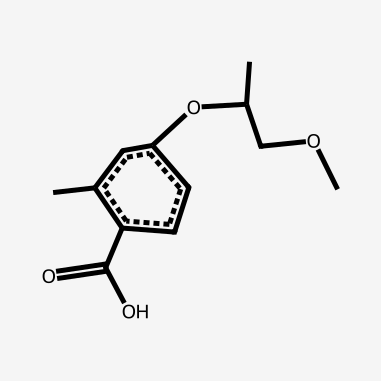 COCC(C)Oc1ccc(C(=O)O)c(C)c1